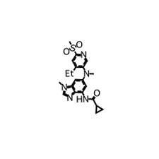 CCc1cc(S(C)(=O)=O)ncc1N(C)c1cc(NC(=O)C2CC2)c2ncn(C)c2c1